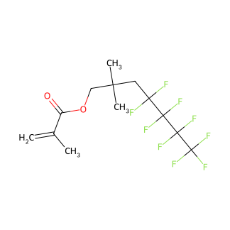 C=C(C)C(=O)OCC(C)(C)CC(F)(F)C(F)(F)C(F)(F)C(F)(F)F